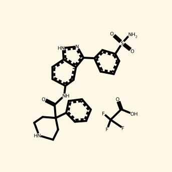 NS(=O)(=O)c1cccc(-c2n[nH]c3ccc(NC(=O)C4(c5ccccc5)CCNCC4)cc23)c1.O=C(O)C(F)(F)F